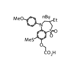 CCCC[C@@]1(CC)CN(c2ccc(OC)cc2)c2cc(SC)c(OCC(=O)O)cc2S(=O)(=O)C1